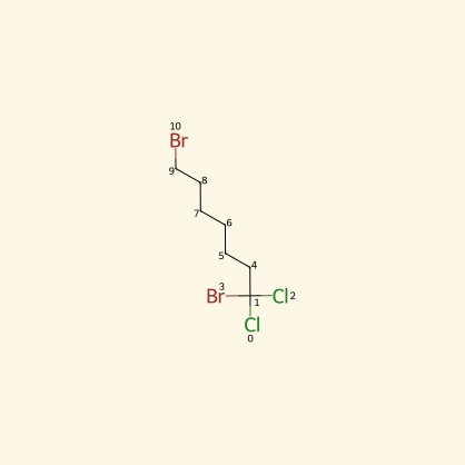 ClC(Cl)(Br)CCCCCCBr